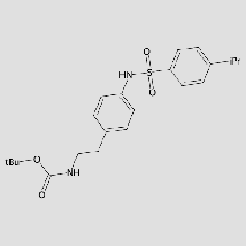 CC(C)c1ccc(S(=O)(=O)Nc2ccc(CCNC(=O)OC(C)(C)C)cc2)cc1